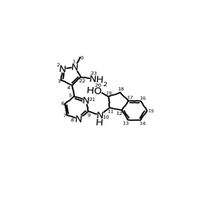 Cn1ncc(-c2ccnc(NC3c4ccccc4CC3O)n2)c1N